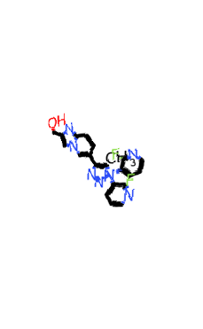 CC1=C(c2ccc3nc(CO)cn3c2)N=N[N+]1(c1cccnc1F)c1cccnc1F